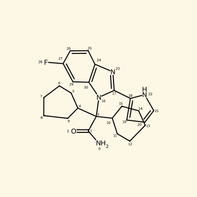 NC(=O)C(C1CCCCC1)(C1CCCCC1)n1c(-c2ccc[nH]2)nc2ccc(F)cc21